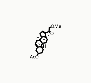 COCC(=O)C1=CC[C@H]2[C@@H]3CC=C4CC(OC(C)=O)CC[C@]4(C)[C@H]3CC[C@]12C